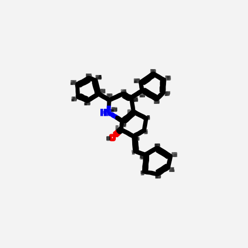 O=C1C2=C(CC/C1=C\c1ccccc1)C(c1ccccc1)=CC(c1ccccc1)N2